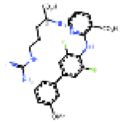 COc1cccc(-c2cc(F)c(Nc3ncccc3C(=O)O)c(F)c2)c1.N=C(N)NCCC[C@H](N)C(=O)O